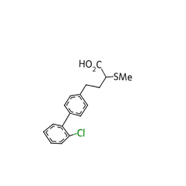 CSC(CCc1ccc(-c2ccccc2Cl)cc1)C(=O)O